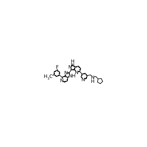 Cc1cc(F)cc(-c2nccc3[nH]c(-c4n[nH]c5ccc(-c6cncc(CNCC7CCCC7)c6)nc45)nc23)c1